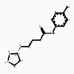 Cc1ccc(NC(=O)CCCC[C@@H]2CCSS2)cc1